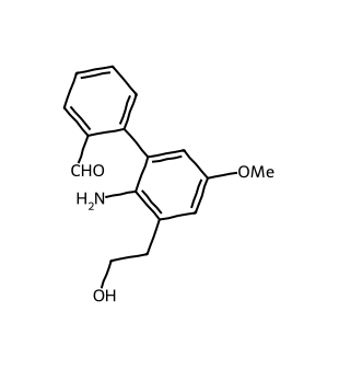 COc1cc(CCO)c(N)c(-c2ccccc2C=O)c1